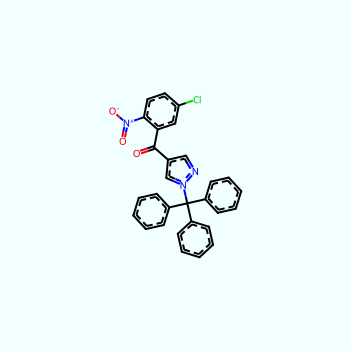 O=C(c1cnn(C(c2ccccc2)(c2ccccc2)c2ccccc2)c1)c1cc(Cl)ccc1[N+](=O)[O-]